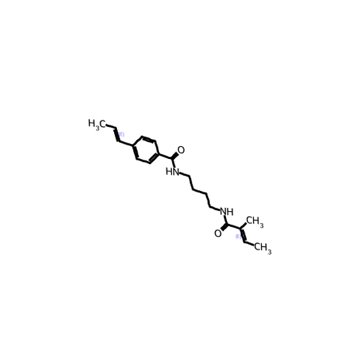 C/C=C/c1ccc(C(=O)NCCCCNC(=O)/C(C)=C/C)cc1